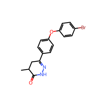 CC1CC(c2ccc(Oc3ccc(Br)cc3)cc2)=NNC1=O